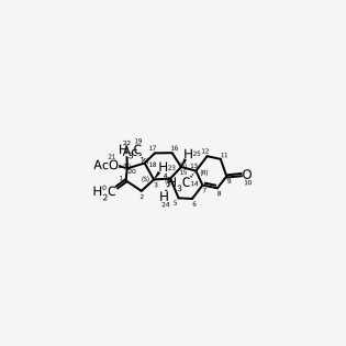 C=C1C[C@H]2[C@@H]3CCC4=CC(=O)CC[C@]4(C)[C@H]3CC[C@]2(C)[C@@]1(OC(C)=O)C(C)=O